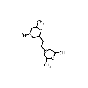 [3H]N1CC(C)OC(CCN2CC(C)OC(C)C2)C1